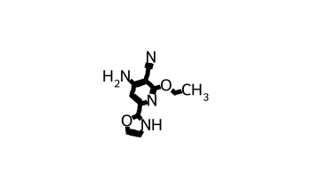 CCOc1nc(C2NC=CO2)cc(N)c1C#N